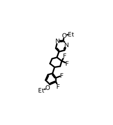 CCOc1ncc(C2CCC(c3ccc(OCC)c(F)c3F)CC2(F)F)cn1